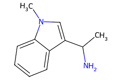 CC(N)c1cn(C)c2ccccc12